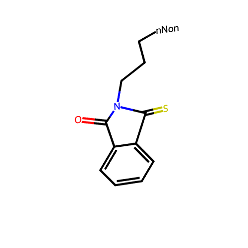 CCCCCCCCCCCCN1C(=O)c2ccccc2C1=S